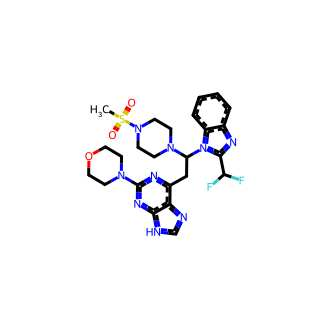 CS(=O)(=O)N1CCN(C(Cc2nc(N3CCOCC3)nc3[nH]cnc23)n2c(C(F)F)nc3ccccc32)CC1